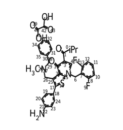 CC(C)C(=O)c1cn(Cc2c(F)cccc2F)c2sc(-c3ccc(N)cc3)c(CN(C)Cc3ccccc3)c2c1=O.O=C(O)C(=O)O